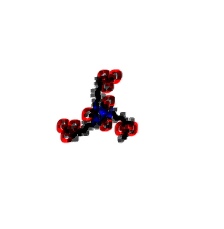 C=C1OCC(/C=C/Cn2c(=O)n(C/C=C/C3COC(=O)O3)c(=O)n(C/C=C/C3COC(=O)O3)c2=O)O1